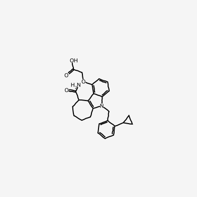 NC(=O)C1CCCCc2c1c1c(OCC(=O)O)cccc1n2Cc1ccccc1C1CC1